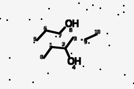 CCC(C)O.CCCO.[CH2]C